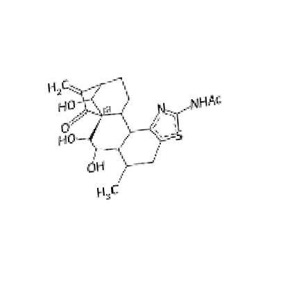 C=C1C(=O)[C@]23C(O)C1CCC2C1c2nc(NC(C)=O)sc2CC(C)C1C(O)C3O